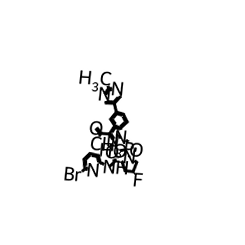 CC(=O)c1nn(CP(=O)(O)N2C[C@H](F)C[C@H]2C(=O)Nc2cccc(Br)n2)c2ccc(-c3cnc(C)nc3)cc12